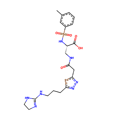 Cc1cccc(S(=O)(=O)N[C@@H](CNC(=O)Cc2nnc(CCCNC3=NCCN3)s2)C(=O)O)c1